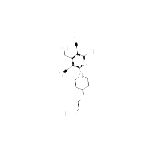 CCc1c(C#N)c(Cl)nc(N2CCC(OCCO)CC2)c1C#N